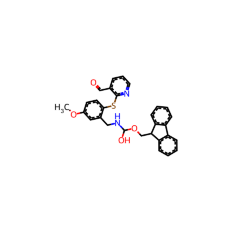 COc1ccc(Sc2ncccc2C=O)c(CNC(O)OCC2c3ccccc3-c3ccccc32)c1